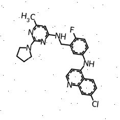 Cc1cc(NCc2cc(Nc3ccnc4cc(Cl)ccc34)ccc2F)nc(N2CCCC2)n1